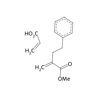 C=C(CCc1ccccc1)C(=O)OC.C=CC(=O)O